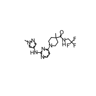 Cn1cc(Nc2nccc(N3CCC(C)(C(=O)NCC(F)(F)F)CC3)n2)cn1